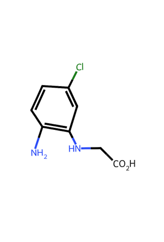 Nc1ccc(Cl)cc1NCC(=O)O